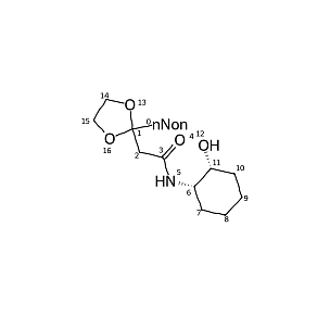 CCCCCCCCCC1(CC(=O)N[C@H]2CCCC[C@H]2O)OCCO1